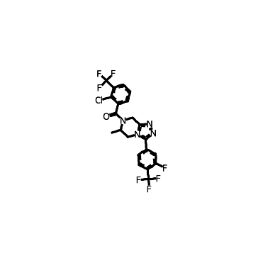 CC1Cn2c(nnc2-c2ccc(C(F)(F)F)c(F)c2)CN1C(=O)c1cccc(C(F)(F)F)c1Cl